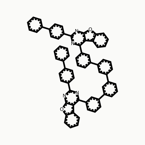 c1ccc(-c2ccc(-c3nc(-c4cccc(-c5cccc(-c6cccc(-c7cccc(-c8nc(-c9ccc(-c%10ccccc%10)cc9)nc9oc%10ccccc%10c89)c7)c6)c5)c4)c4c(n3)oc3ccccc34)cc2)cc1